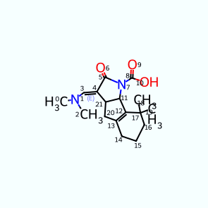 CN(C)/C=C1/C(=O)N(C(=O)O)C2C3=C(CCCC3(C)C)CC12